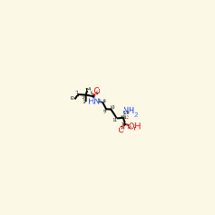 CCC(C)(C)C(=O)NCCCC[C@H](N)C(=O)O